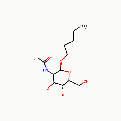 O=C(O)CCCCO[C@H]1OC(CO)[C@H](O)C(O)C1NC(=O)C(F)(F)F